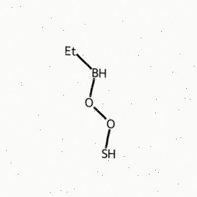 CCBOOS